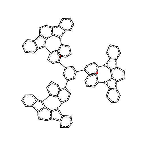 c1ccc(-n2c3ccccc3c3ccc4c5ccccc5n(-c5ccc(-c6cc(-c7ccc(-n8c9ccccc9c9ccc%10c%11ccccc%11n(-c%11ccccc%11)c%10c98)cc7)nc(-c7ccc(-n8c9ccccc9c9ccc%10c%11ccccc%11n(-c%11ccccc%11)c%10c98)cc7)c6)cc5)c4c32)cc1